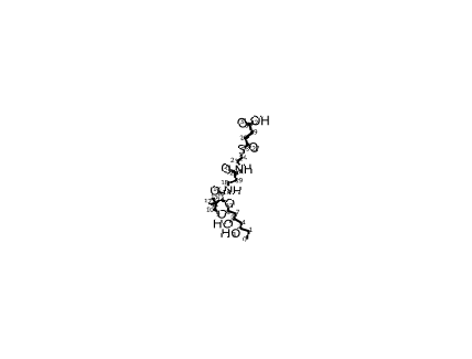 CCC(O)CC(O)CC1OCC(C)(C)[C@H](C(=O)NCCC(=O)NCCSC(=O)/C=C/C(=O)O)O1